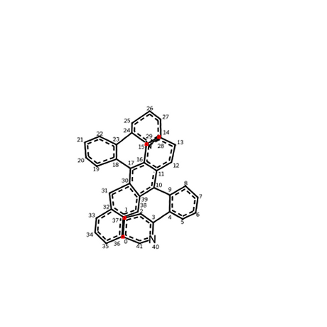 c1ccc(-c2ccccc2-c2c3ccccc3c(-c3ccccc3-c3ccccn3)c3cc4ccccc4cc23)nc1